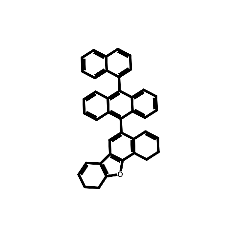 C1=Cc2c(oc3c4c(c(-c5c6ccccc6c(-c6cccc7ccccc67)c6ccccc56)cc23)C=CCC4)CC1